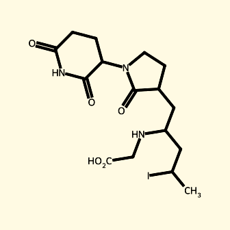 CC(I)CC(CC1CCN(C2CCC(=O)NC2=O)C1=O)NCC(=O)O